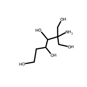 NC(CO)(CO)C(O)C(O)CCO